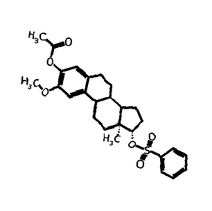 COc1cc2c(cc1OC(C)=O)CCC1C2CC[C@@]2(C)C1CC[C@@H]2OS(=O)(=O)c1ccccc1